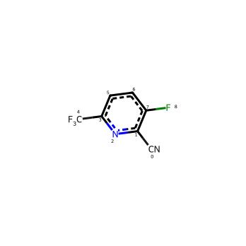 N#Cc1nc(C(F)(F)F)ccc1F